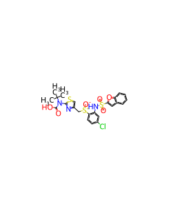 CC(C)(C)N(C(=O)O)c1nc(C[S+]([O-])c2ccc(Cl)cc2NS(=O)(=O)c2cc3ccccc3o2)cs1